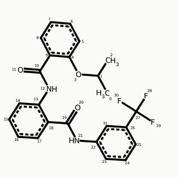 CC(C)Oc1ccccc1C(=O)Nc1ccccc1C(=O)Nc1cccc(C(F)(F)F)c1